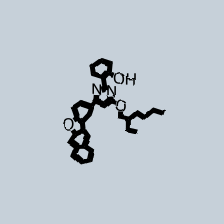 CCCCC(CC)COc1cc(C2=CC=C3OC4C=C5C=CCCC5=CC4C3C2)nc(C2=C(O)C=CCC2)n1